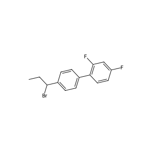 CCC(Br)c1ccc(-c2ccc(F)cc2F)cc1